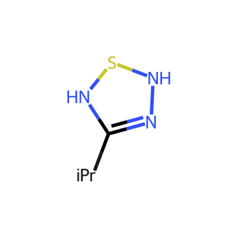 CC(C)C1=NNSN1